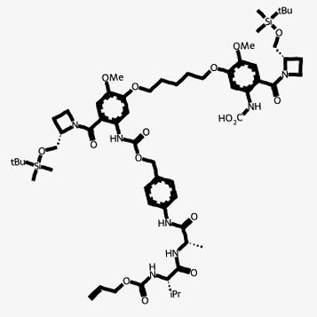 C=CCOC(=O)N[C@H](C(=O)N[C@@H](C)C(=O)Nc1ccc(COC(=O)Nc2cc(OCCCCCOc3cc(NC(=O)O)c(C(=O)N4CC[C@H]4CO[Si](C)(C)C(C)(C)C)cc3OC)c(OC)cc2C(=O)N2CC[C@H]2CO[Si](C)(C)C(C)(C)C)cc1)C(C)C